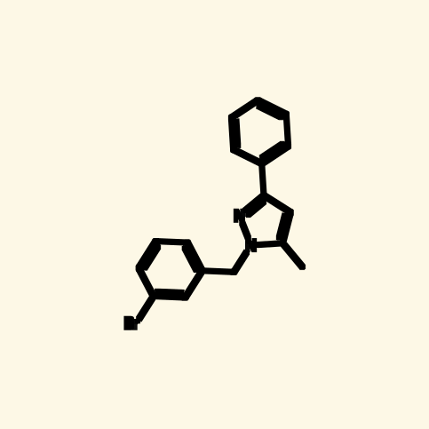 Cc1cc(-c2ccccc2)nn1Cc1cccc(Br)c1